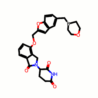 O=C1CCC(N2Cc3c(OCc4cc5cc(CB6CCOCC6)ccc5o4)cccc3C2=O)C(=O)N1